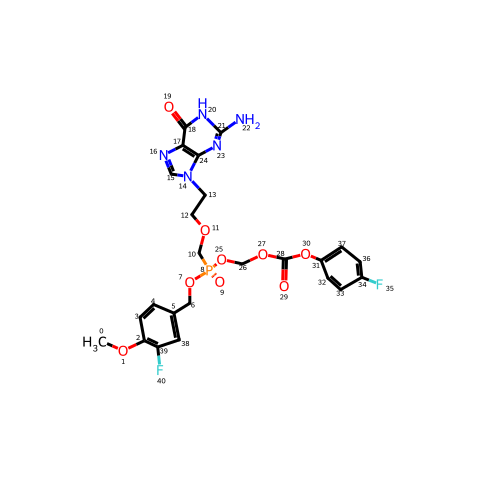 COc1ccc(COP(=O)(COCCn2cnc3c(=O)[nH]c(N)nc32)OCOC(=O)Oc2ccc(F)cc2)cc1F